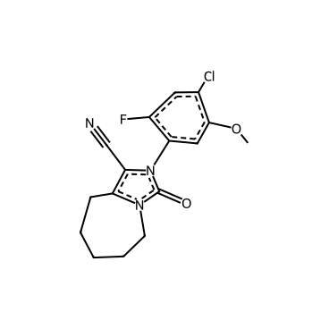 COc1cc(-n2c(C#N)c3n(c2=O)CCCCC3)c(F)cc1Cl